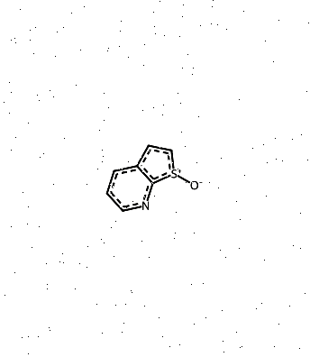 [O-][s+]1ccc2cccnc21